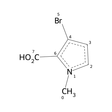 Cn1ccc(Br)c1C(=O)O